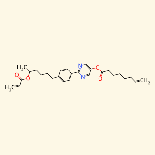 C=CCCCCCC(=O)Oc1cnc(-c2ccc(CCCCC(C)OC(=O)C=C)cc2)nc1